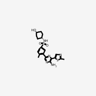 Cc1ncc(-c2nc(-c3cc(S(=O)(=O)N[C@H]4CC[C@@H](O)CC4)ccc3C)cnc2N)s1